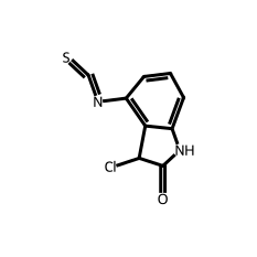 O=C1Nc2cccc(N=C=S)c2C1Cl